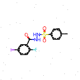 Cc1ccc(S(=O)(=O)NNC(=O)c2cc(I)ccc2F)cc1